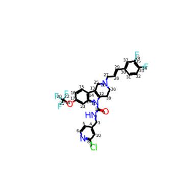 O=C(NCc1ccnc(Cl)c1)n1c2c(c3ccc(OC(F)(F)F)cc31)CN(CC=Cc1ccc(F)c(F)c1)CC2